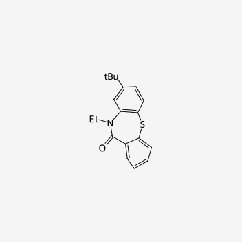 CCN1C(=O)c2ccccc2Sc2ccc(C(C)(C)C)cc21